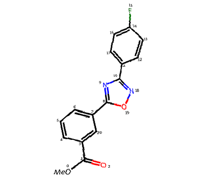 COC(=O)c1cccc(-c2nc(-c3ccc(F)cc3)no2)c1